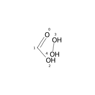 O=CO.OO